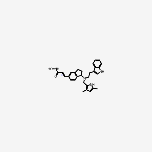 Cc1cc(C)c(CN(CCc2c[nH]c3ccccc23)C2CCc3cc(/C=C/C(=O)NO)ccc32)[nH]1